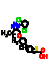 Cc1cc(OCc2c(C(C)C)nnn2-c2c(Cl)cccc2Cl)ccc1-c1ccc2cc(C(=O)O)sc2c1